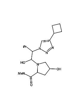 CNC(=O)C1CC(O)CN1C(O)C(C(C)C)n1cc(C2CCC2)nn1